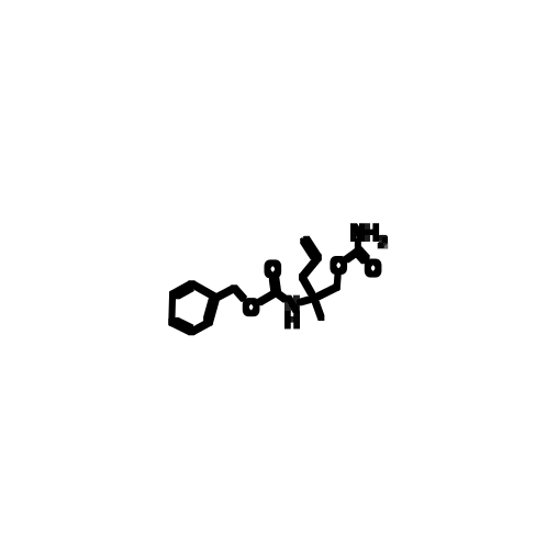 C=CCC(C)(COC(N)=O)NC(=O)OCc1ccccc1